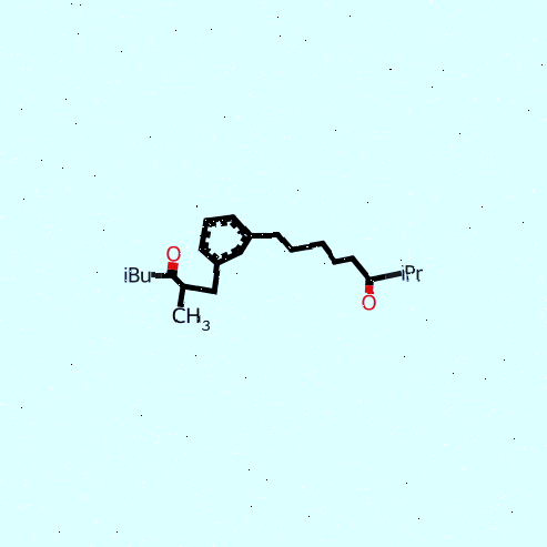 CCC(C)C(=O)C(C)Cc1cccc(CCCCCC(=O)C(C)C)c1